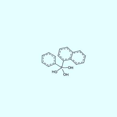 OP(O)(O)(c1ccccc1)c1cccc2ccccc12